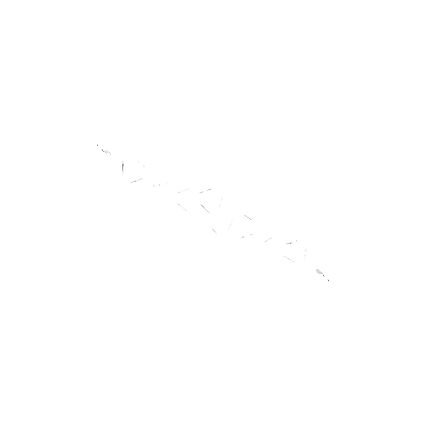 N#Cc1ccc(/C=C/c2ccc3c(ccc4c5ccc(/C=C/c6ccc(C#N)cc6)cc5ccc34)c2)cc1